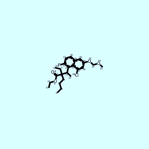 CCCCC(CC)(C(=O)OCC)C(C)c1c(F)ccc2cc(OCOC)cc(Cl)c12